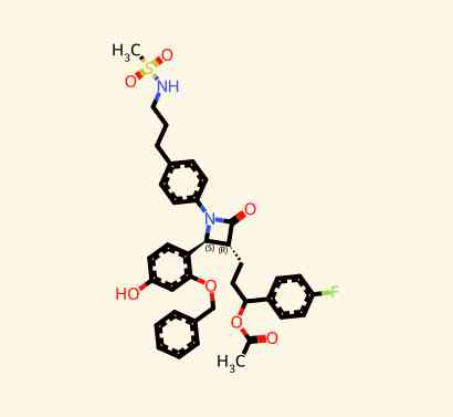 CC(=O)OC(CC[C@H]1C(=O)N(c2ccc(CCCNS(C)(=O)=O)cc2)[C@@H]1c1ccc(O)cc1OCc1ccccc1)c1ccc(F)cc1